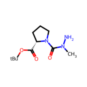 CN(N)C(=O)N1CCC[C@H]1C(=O)OC(C)(C)C